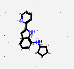 c1ccc(-c2cc3cccc(NC4CCCC4)c3[nH]2)nc1